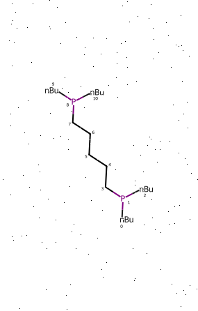 CCCCP(CCCC)CCCCCP(CCCC)CCCC